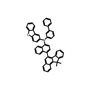 CC1(C)c2ccccc2-c2c(-c3ccc(N(c4cccc(-c5ccccc5)c4)c4ccc5oc6ccccc6c5c4)c4ccccc34)cc3ccccc3c21